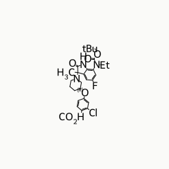 CCN(C(=O)OC(C)(C)C)c1cc(F)cc2c1NC(=O)C2(C)N1CCC[C@@H](Oc2ccc(C(=O)O)c(Cl)c2)C1